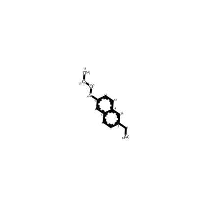 CC(=O)Cc1ccc2cc(SOOO)ccc2c1